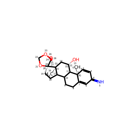 C[C@]12C=CC(=N)C=C1CCC1C2[C@@H](O)C[C@@]2(C)C1CC[C@@]21OCOC12COCO2